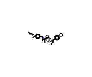 CCCSc1ccc(/C=C(\C)C(=O)NC2=NC(c3ccc(OC)cc3)CS2)cc1